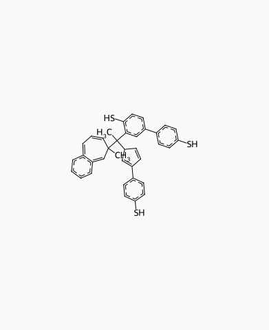 CC1(C(C)(c2cc(-c3ccc(S)cc3)ccc2S)C2C=CC(c3ccc(S)cc3)=C2)C=CC=c2ccccc2=C1